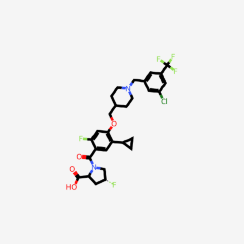 O=C(O)C1C[C@@H](F)CN1C(=O)c1cc(C2CC2)c(OCC2CCN(Cc3cc(Cl)cc(C(F)(F)F)c3)CC2)cc1F